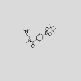 CN(C)CCN(C)C(=O)c1ccc(B2OC(C)(C)C(C)(C)O2)cc1